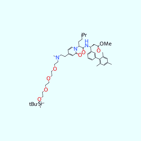 COC(=O)C[C@H](NC(=O)C(CCC(C)C)n1ccc(CCN(C)CCOCCOCCOCCO[Si](C)(C)C(C)(C)C)cc1=O)c1cccc(-c2c(C)cc(C)cc2C)c1